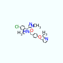 Cc1cc(Cl)ccc1C(NC(=O)Cc1ccc(OCc2cccnc2C)cc1)c1cnn(C)c1